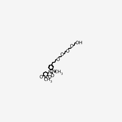 CN1C(=O)CCC(n2c(=O)n(C)c3cc(CCCOCCOCCOCCOCCO)ccc32)C1=O